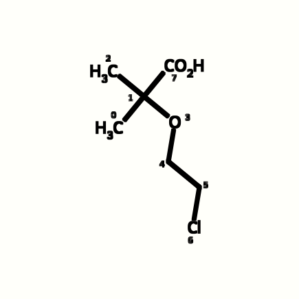 CC(C)(OCCCl)C(=O)O